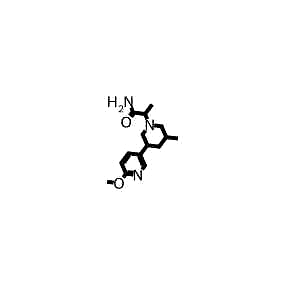 COc1ccc(C2CC(C)CN(C(C)C(N)=O)C2)cn1